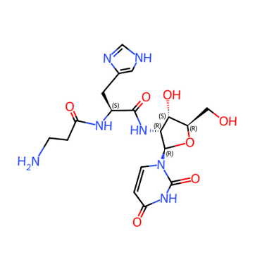 NCCC(=O)N[C@@H](Cc1c[nH]cn1)C(=O)N[C@@H]1[C@H](O)[C@@H](CO)O[C@H]1n1ccc(=O)[nH]c1=O